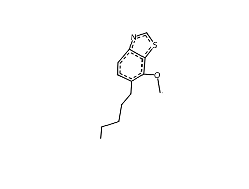 [CH2]Oc1c(CCCCC)ccc2ncsc12